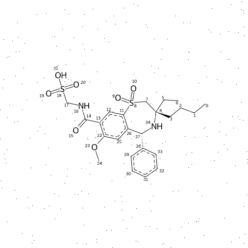 CCCC[C@]1(CC)CS(=O)(=O)c2cc(C(=O)NCS(=O)(=O)O)c(OC)cc2[C@@H](c2ccccc2)N1